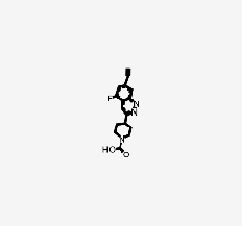 C#Cc1cc(F)c2cc(C3CCN(C(=O)O)CC3)nnc2c1